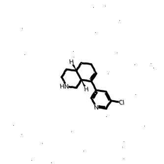 Clc1cncc(C2=CCC[C@H]3CCNC[C@@H]23)c1